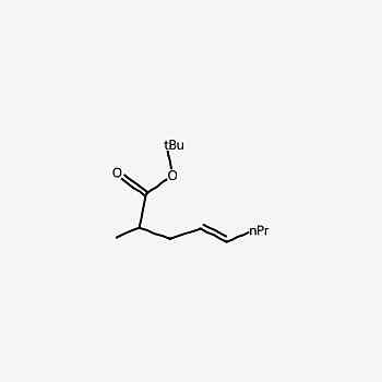 CCCC=CCC(C)C(=O)OC(C)(C)C